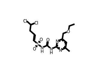 CCOCc1cc(C)nc(NC(=O)NS(=O)(=O)C=CCC(Cl)Cl)n1